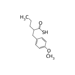 CCCC(Cc1ccc(OC)cc1)C(=O)S